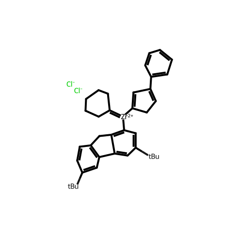 CC(C)(C)c1ccc2c(c1)-c1cc(C(C)(C)C)c[c]([Zr+2]([C]3=CC(c4ccccc4)=CC3)=[C]3CCCCC3)c1C2.[Cl-].[Cl-]